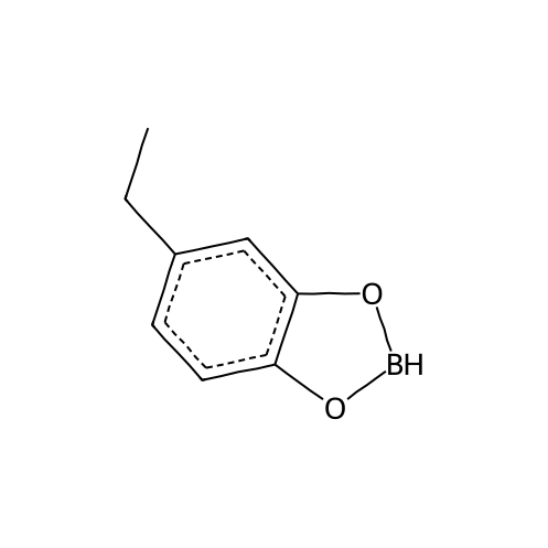 CCc1ccc2c(c1)OBO2